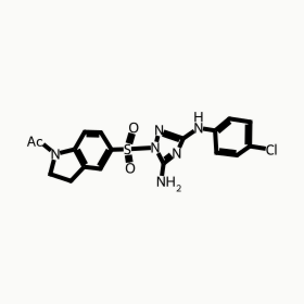 CC(=O)N1CCc2cc(S(=O)(=O)n3nc(Nc4ccc(Cl)cc4)nc3N)ccc21